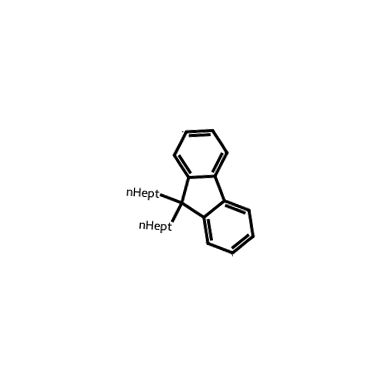 CCCCCCCC1(CCCCCCC)c2c[c]ccc2-c2cc[c]cc21